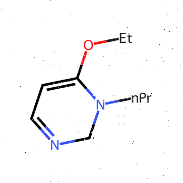 CCCN1[CH]N=CC=C1OCC